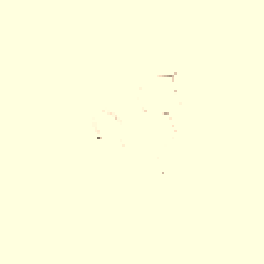 OCCCC1CCCCC1.c1ccoc1